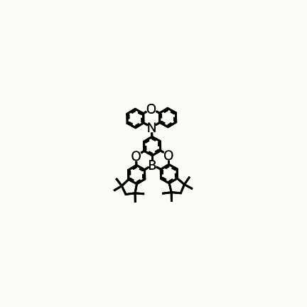 CC1(C)CC(C)(C)c2cc3c(cc21)Oc1cc(N2c4ccccc4Oc4ccccc42)cc2c1B3c1cc3c(cc1O2)C(C)(C)CC3(C)C